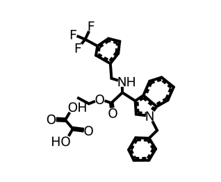 CCOC(=O)C(NCc1cccc(C(F)(F)F)c1)c1cn(Cc2ccccc2)c2ccccc12.O=C(O)C(=O)O